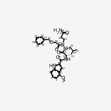 COc1cccc2[nH]c(C(=O)N[C@@H](CC(C)C)C(=O)NN(CCC(N)=O)C(=O)COCc3ccccc3)cc12